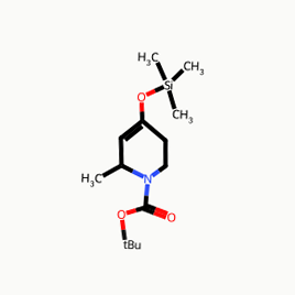 CC1C=C(O[Si](C)(C)C)CCN1C(=O)OC(C)(C)C